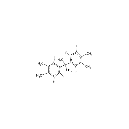 Cc1c(C)c(F)c(C(C)(C)c2c(F)c(C)c(C)c(F)c2F)c(F)c1F